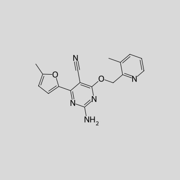 Cc1ccc(-c2nc(N)nc(OCc3ncccc3C)c2C#N)o1